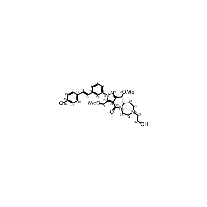 COCc1nn(-c2cccc(/C=C/c3ccc(Cl)cc3)c2)c(COC)c1C(=O)N1CCCN(CCO)CC1